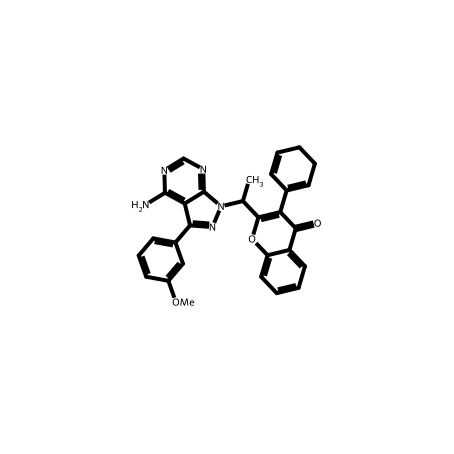 COc1cccc(-c2nn(C(C)c3oc4ccccc4c(=O)c3C3=CCCC=C3)c3ncnc(N)c23)c1